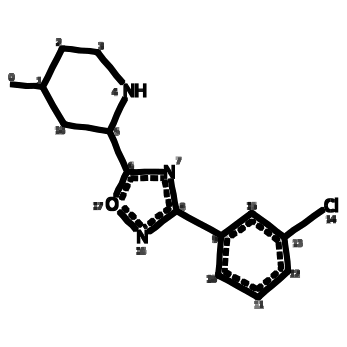 CC1CCNC(c2nc(-c3cccc(Cl)c3)no2)C1